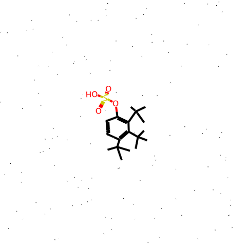 CC(C)(C)c1ccc(OS(=O)(=O)O)c(C(C)(C)C)c1C(C)(C)C